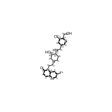 O=c1ccc2ncc(F)cc2n1CCN1CC[C@H](NCc2cnc(CO)c(Cl)c2)[C@H](O)C1